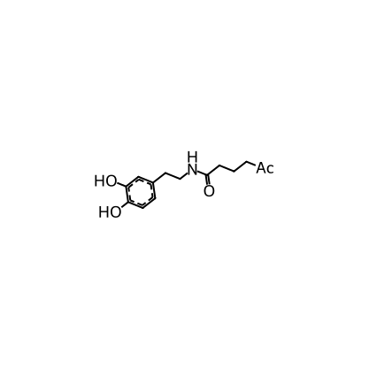 CC(=O)CCCC(=O)NCCc1ccc(O)c(O)c1